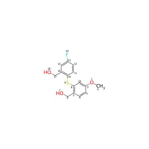 COc1ccc(CO)c(Sc2ccc(F)cc2CO)c1